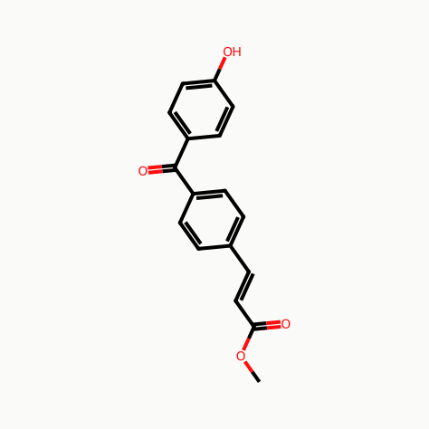 COC(=O)C=Cc1ccc(C(=O)c2ccc(O)cc2)cc1